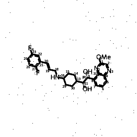 COc1cnc2cccc([C@@H](O)[C@H](O)C3CCC(NCC=Cc4cc(F)ccc4F)CC3)c2n1